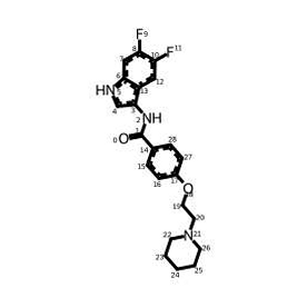 O=C(Nc1c[nH]c2cc(F)c(F)cc12)c1ccc(OCCN2CCCCC2)cc1